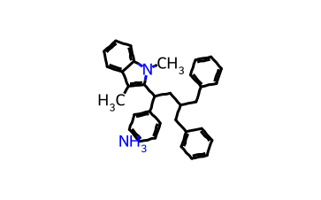 Cc1c(C(CC(Cc2ccccc2)Cc2ccccc2)c2ccccc2)n(C)c2ccccc12.N